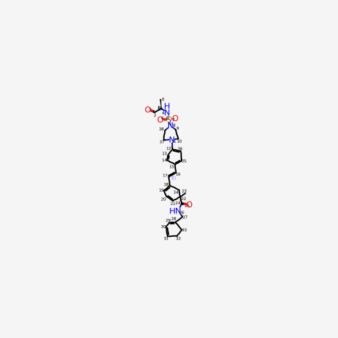 C[C@H](C=O)NS(=O)(=O)N1CCN(c2ccc(/C=C/C3=CC=CC(C)(C(=O)NCC4=CC=CCC4)C3)cc2)CC1